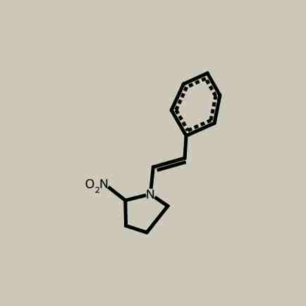 O=[N+]([O-])C1CCCN1/C=C/c1ccccc1